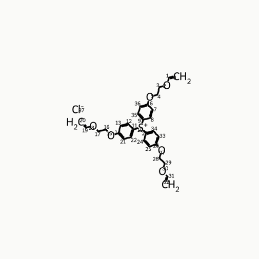 C=COCCOc1ccc([S+](c2ccc(OCCOC=C)cc2)c2ccc(OCCOC=C)cc2)cc1.[Cl-]